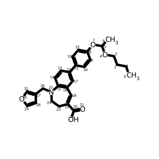 CCCCOC(C)Oc1ccc(-c2ccc3c(c2)C=C(C(=O)O)CCN3Cc2ccoc2)cc1